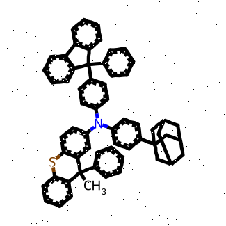 CC1(c2ccccc2)c2ccccc2Sc2ccc(N(c3ccc(C45CC6CC(CC(C6)C4)C5)cc3)c3ccc(C4(c5ccccc5)c5ccccc5-c5ccccc54)cc3)cc21